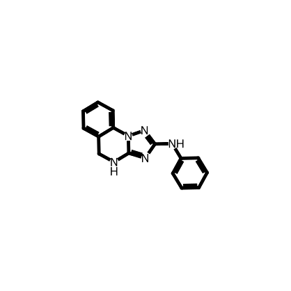 c1ccc(Nc2nc3n(n2)-c2ccccc2CN3)cc1